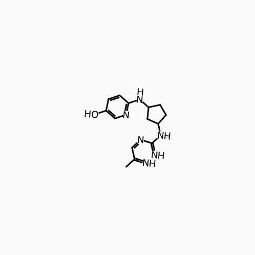 CC(=N)/C=N\C(=N)NC1CCC(Nc2ccc(O)cn2)C1